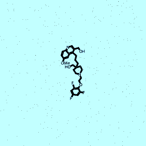 COc1ccc2ncc(CO)c(CCCC3(CO)CCN(CCOc4c(F)cc(F)cc4F)CC3)c2c1